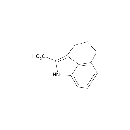 O=C(O)c1[nH]c2cccc3c2c1CCC3